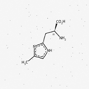 Cc1c[nH]c(C[C@H](N)C(=O)O)n1